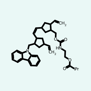 C=CC1CC(/C=C\C2CC(C=C)C(COC(=O)NCCOC(=O)C(C)C)C2)C(Cn2c3ccccc3c3ccccc32)C1